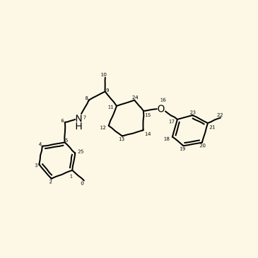 Cc1cccc(CNCC(C)C2CCCC(Oc3cccc(C)c3)C2)c1